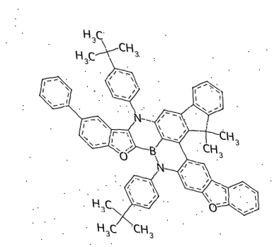 CC(C)(C)c1ccc(N2B3c4oc5ccc(-c6ccccc6)cc5c4N(c4ccc(C(C)(C)C)cc4)c4cc5c(c(c43)-c3cc4c(cc32)oc2ccccc24)C(C)(C)c2ccccc2-5)cc1